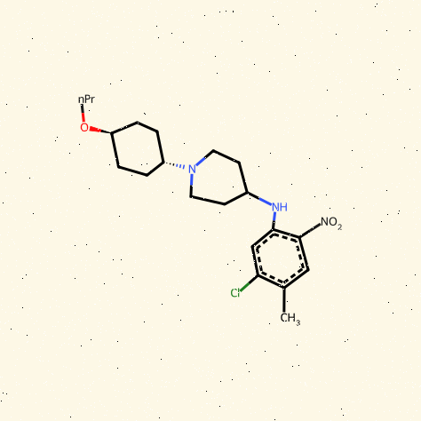 CCCO[C@H]1CC[C@H](N2CCC(Nc3cc(Cl)c(C)cc3[N+](=O)[O-])CC2)CC1